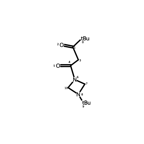 CC(C)(C)C(=O)CC(=O)N1CN(C(C)(C)C)C1